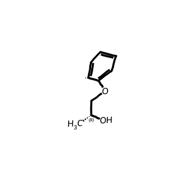 C[C@@H](O)COc1[c]cccc1